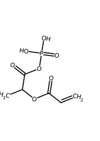 C=CC(=O)OC(C)C(=O)OP(=O)(O)O